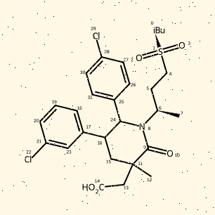 CC[C@H](C)S(=O)(=O)CC[C@@H](C)N1C(=O)C(C)(CC(=O)O)CC(c2cccc(Cl)c2)C1c1ccc(Cl)cc1